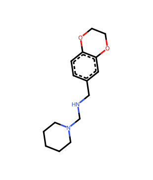 c1cc2c(cc1CNCN1CCCCC1)OCCO2